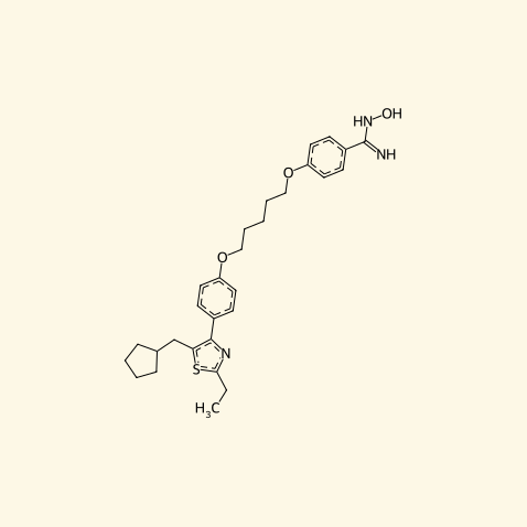 CCc1nc(-c2ccc(OCCCCCOc3ccc(C(=N)NO)cc3)cc2)c(CC2CCCC2)s1